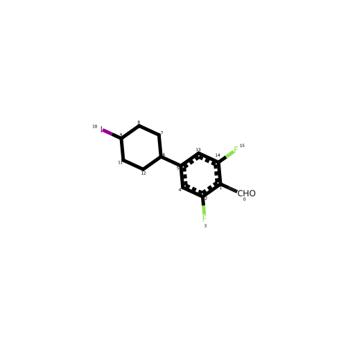 O=Cc1c(F)cc(C2CCC(I)CC2)cc1F